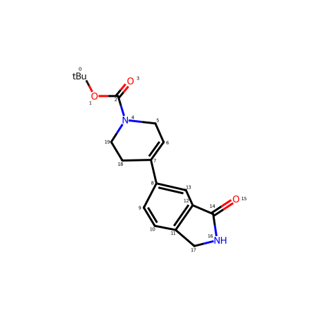 CC(C)(C)OC(=O)N1CC=C(c2ccc3c(c2)C(=O)NC3)CC1